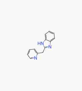 c1ccc(Cc2nc3ccccc3[nH]2)nc1